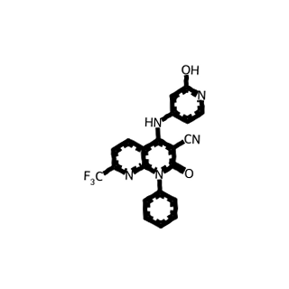 N#Cc1c(Nc2ccnc(O)c2)c2ccc(C(F)(F)F)nc2n(-c2ccccc2)c1=O